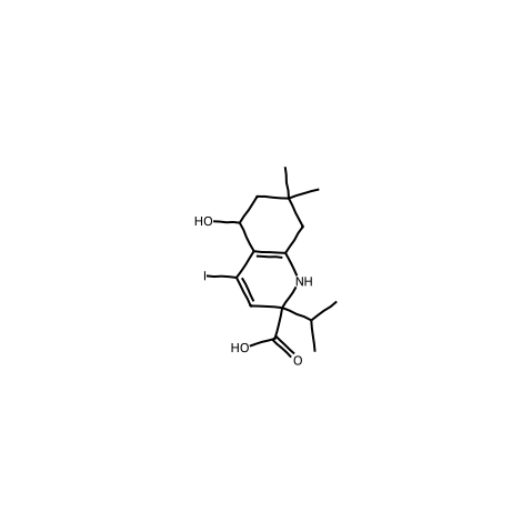 CC(C)C1(C(=O)O)C=C(I)C2=C(CC(C)(C)CC2O)N1